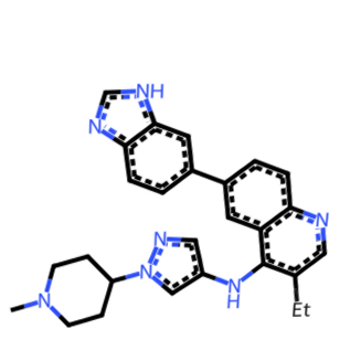 CCc1cnc2ccc(-c3ccc4nc[nH]c4c3)cc2c1Nc1cnn(C2CCN(C)CC2)c1